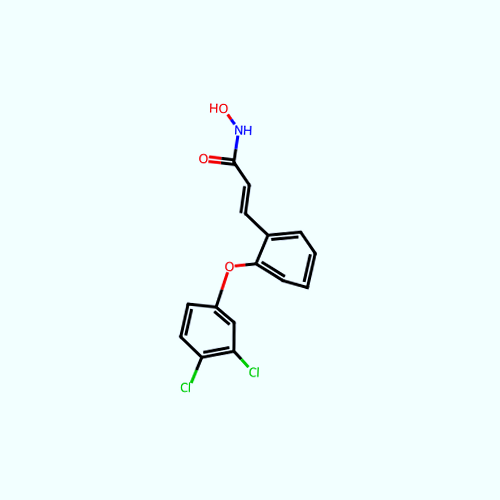 O=C(C=Cc1ccccc1Oc1ccc(Cl)c(Cl)c1)NO